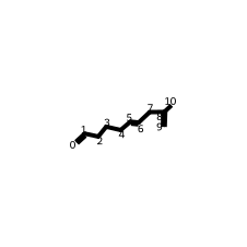 C=CCCCC=CCC(=C)C